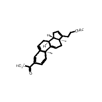 CC(=O)OCCC1=CC[C@H]2[C@@H]3CC=C4C=C(C(=O)C(=O)O)C=C[C@]4(C)C3=CC[C@]12C